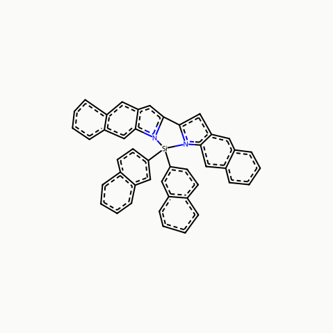 c1ccc2cc([Si]3(c4ccc5ccccc5c4)n4c(cc5cc6ccccc6cc54)-c4cc5cc6ccccc6cc5n43)ccc2c1